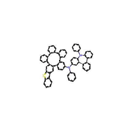 c1ccc(N(c2ccc3c(c2)-c2ccccc2-c2ccccc2N3c2ccccc2)c2ccc3c(c2)c2ccccc2c2ccccc2c2ccccc2c2cc4sc5ccccc5c4cc32)cc1